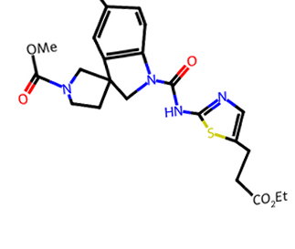 CCOC(=O)CCc1cnc(NC(=O)N2CC3(CCN(C(=O)OC)C3)c3cc(Cl)ccc32)s1